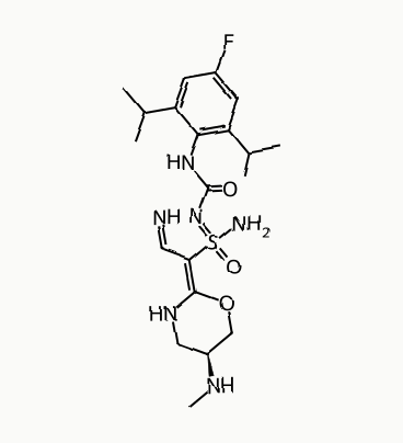 CN[C@H]1CN/C(=C(\C=N)S(N)(=O)=NC(=O)Nc2c(C(C)C)cc(F)cc2C(C)C)OC1